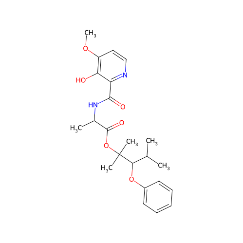 COc1ccnc(C(=O)NC(C)C(=O)OC(C)(C)C(Oc2ccccc2)C(C)C)c1O